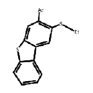 CCSc1cc2c(cc1C(C)=O)sc1ccccc12